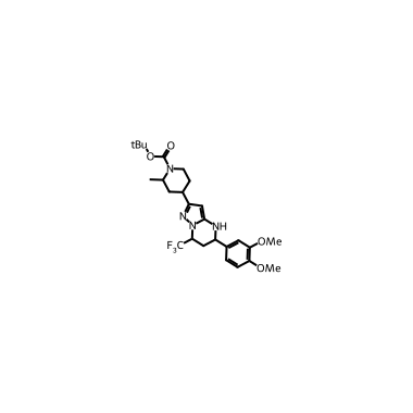 COc1ccc(C2CC(C(F)(F)F)n3nc(C4CCN(C(=O)OC(C)(C)C)C(C)C4)cc3N2)cc1OC